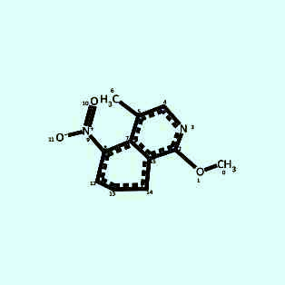 COc1ncc(C)c2c([N+](=O)[O-])cccc12